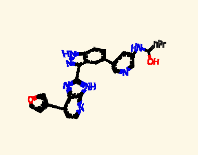 CCCC(O)Nc1cncc(-c2ccc3[nH]nc(-c4nc5c(-c6ccoc6)ccnc5[nH]4)c3c2)c1